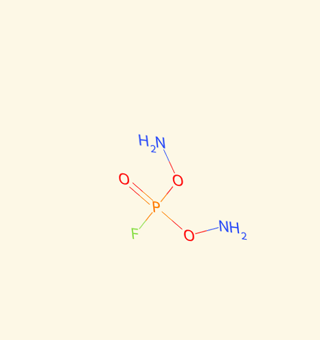 NOP(=O)(F)ON